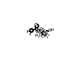 CC(C)(C)C(NC(=O)n1nc(-c2ccc(F)c(F)c2)c2c1CCOC2)C(=O)NCCO